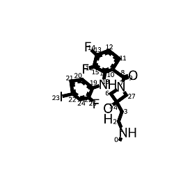 CNCCC1(O)CN(C(=O)c2ccc(F)c(F)c2Nc2ccc(I)cc2F)C1